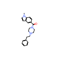 Cn1ccc2cc(C(=O)N3CCN(CCc4ccccc4)CC3)ccc21